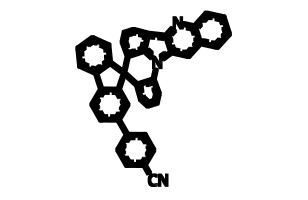 N#Cc1ccc(-c2ccc3c(c2)C2(c4ccccc4-3)c3ccccc3-n3c4cc5ccccc5nc4c4cccc2c43)cc1